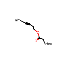 CCCC#CCCOC(=O)CCCCCCC